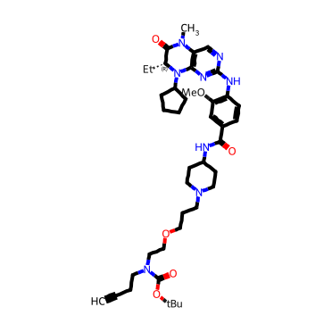 C#CCCN(CCOCCCN1CCC(NC(=O)c2ccc(Nc3ncc4c(n3)N(C3CCCC3)[C@H](CC)C(=O)N4C)c(OC)c2)CC1)C(=O)OC(C)(C)C